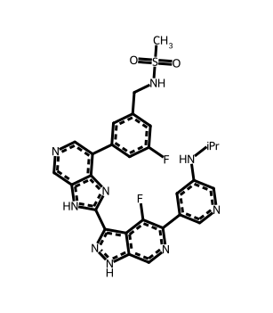 CC(C)Nc1cncc(-c2ncc3[nH]nc(-c4nc5c(-c6cc(F)cc(CNS(C)(=O)=O)c6)cncc5[nH]4)c3c2F)c1